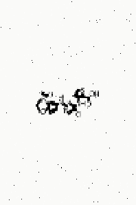 CC(=O)N1CCCOc2ccc(Nc3ncc(Cl)c(Nc4ccsc4C(=O)O)n3)cc21